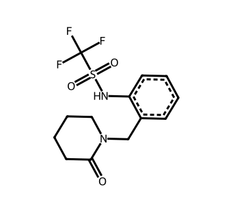 O=C1CCCCN1Cc1ccccc1NS(=O)(=O)C(F)(F)F